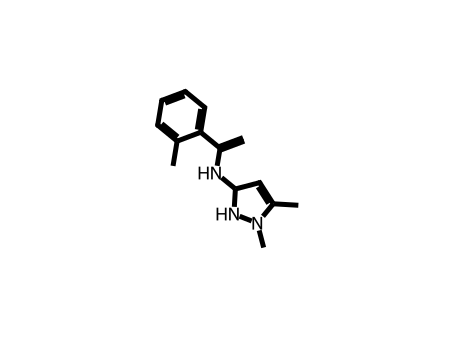 C=C(NC1C=C(C)N(C)N1)c1ccccc1C